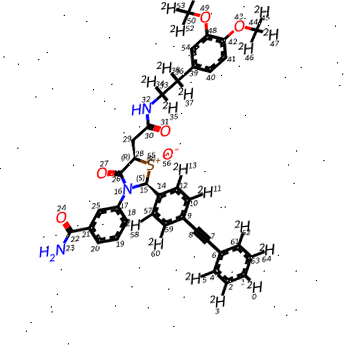 [2H]c1c([2H])c([2H])c(C#Cc2c([2H])c([2H])c([C@H]3N(c4cccc(C(N)=O)c4)C(=O)[C@@H](CC(=O)NC([2H])([2H])C([2H])([2H])c4ccc(OC([2H])([2H])[2H])c(OC([2H])([2H])[2H])c4)[S@+]3[O-])c([2H])c2[2H])c([2H])c1[2H]